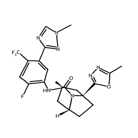 Cc1nnc([C@]23CC[C@H](C[C@@H](C)C2)N3C(=O)Nc2cc(-c3ncn(C)n3)c(C(F)(F)F)cc2F)o1